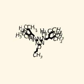 CCCCOc1nc(NCC2CC(C)(C)NC(C)(C)C2)nc(NCC2CC(C)(C)NC(C)(C)C2)n1